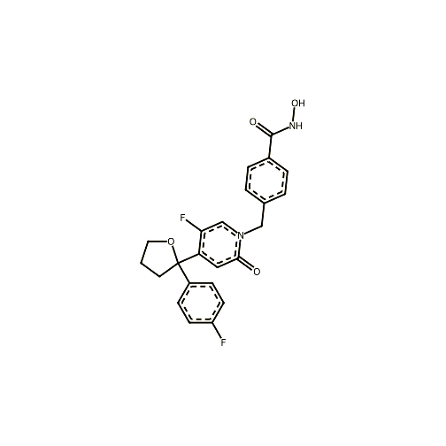 O=C(NO)c1ccc(Cn2cc(F)c(C3(c4ccc(F)cc4)CCCO3)cc2=O)cc1